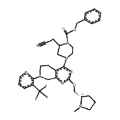 CN1CCC[C@H]1COc1nc2c(c(N3CCN(C(=O)OCc4ccccc4)C(CC#N)C3)n1)CCN(c1ncccc1C(F)(F)F)C2